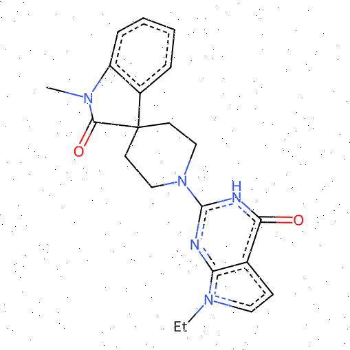 CCn1ccc2c(=O)[nH]c(N3CCC4(CC3)C(=O)N(C)c3ccccc34)nc21